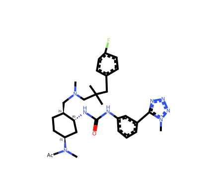 CC(=O)N(C)[C@H]1CC[C@@H](CN(C)CC(C)(C)Cc2ccc(F)cc2)[C@H](NC(=O)Nc2cccc(-c3nnnn3C)c2)C1